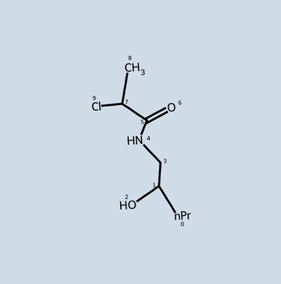 CCCC(O)CNC(=O)C(C)Cl